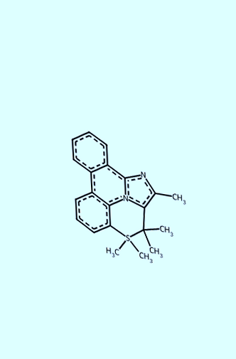 Cc1nc2c3ccccc3c3cccc4c3n2c1C(C)(C)S4(C)C